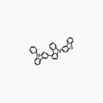 c1ccc(-n2c3ccccc3c3cc(-c4cccc5c4c4ccccc4n5-c4ccc5sc6ccccc6c5c4)ccc32)cc1